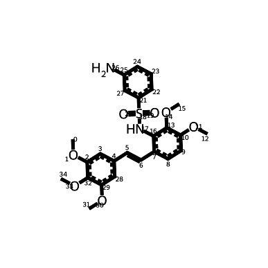 COc1cc(C=Cc2ccc(OC)c(OC)c2NS(=O)(=O)c2cccc(N)c2)cc(OC)c1OC